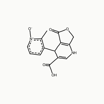 Cc1c(C2C(C(=O)O)=CNC3=C2C(=O)OC3)ccc[n+]1[O-]